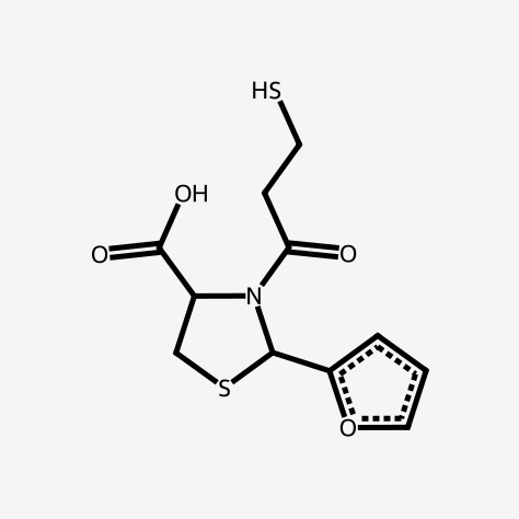 O=C(O)C1CSC(c2ccco2)N1C(=O)CCS